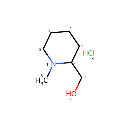 CN1CCCCC1CO.Cl